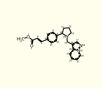 COC(=O)C=Cc1ccc(C2CCCN2Cc2cnn3ccccc23)cc1